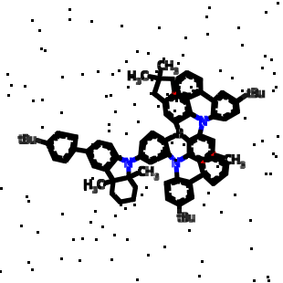 Cc1cc2c3c(c1)N(c1ccc(C(C)(C)C)cc1-c1ccccc1)c1cc4c(cc1B3c1ccc(N3c5ccc(-c6ccc(C(C)(C)C)cc6)cc5C5(C)CCCCC35C)cc1N2c1ccc(C(C)(C)C)cc1-c1ccccc1)CC(C)(C)C4